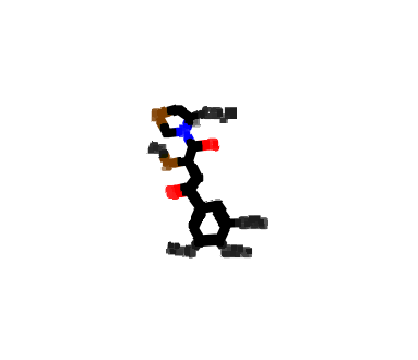 COc1cc(C(=O)CC(SC(C)=O)C(=O)N2CSC[C@H]2C(=O)O)cc(OC)c1OC